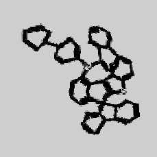 c1ccc(-c2ccc(N(c3cccc4c3-c3c(sc5ccccc35)C43c4ccccc4-c4ccccc43)c3cccc4ccccc34)cc2)cc1